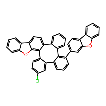 Clc1ccc2c(c1)-c1cccc(-c3ccc4c(c3)oc3ccccc34)c1-c1ccccc1-c1ccc3c(oc4ccccc43)c1-2